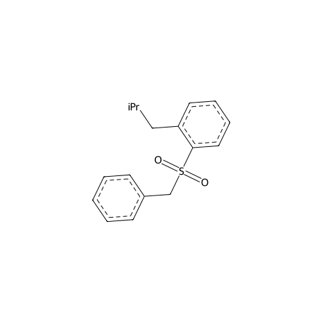 CC(C)Cc1ccccc1S(=O)(=O)Cc1ccccc1